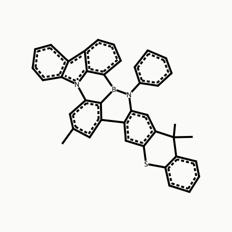 Cc1cc2c3c(c1)-n1c4ccccc4c4cccc(c41)B3N(c1ccccc1)c1cc3c(cc1-2)Sc1ccccc1C3(C)C